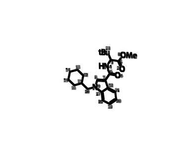 COC(=O)C(NC(=O)c1cn(CC2CCCCC2)c2ccccc12)C(C)(C)C